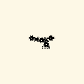 O=C(/C=C/c1ccncc1)Nc1ccc(S(=O)(=O)N(Cc2ccc(F)cc2)Cc2ccc(Cl)c(Cl)c2)cc1